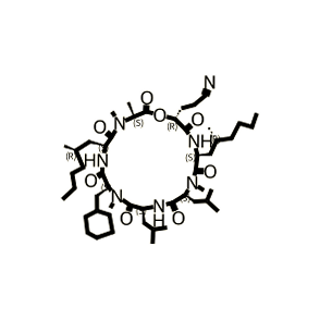 CCCC[C@@H](C)C[C@@H]1NC(=O)[C@H](CC2CCCCC2)N(C)C(=O)[C@H](CC(C)C)NC(=O)[C@H](CC(C)C)N(C)C(=O)[C@H](C[C@H](C)CCCC)NC(=O)[C@@H](CCC#N)OC(=O)[C@H](C)N(C)C1=O